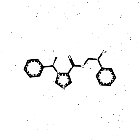 CC(=O)C(COC(=O)c1cncn1[C@H](C)c1ccccc1)c1ccccc1